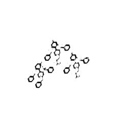 Cc1ccc(C2[C@@H](C(=O)c3ccccc3)CN(CC(=O)N(C)C)C[C@@H]2C(=O)c2ccccc2)cc1.Cc1ccc([C@@H]2[C@@H](C(=O)c3ccccc3)CN(CC(=O)N(C)C)C[C@H]2C(=O)c2ccccc2)cc1.Cc1cccc(C2[C@@H](C(=O)c3ccccc3)CN(Cc3ccccc3)C[C@@H]2C(=O)c2ccccc2)c1C